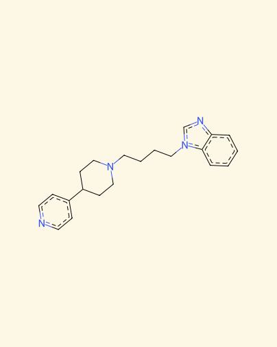 c1ccc2c(c1)ncn2CCCCN1CCC(c2ccncc2)CC1